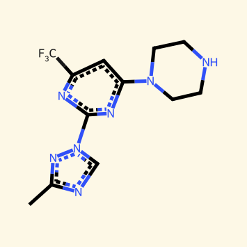 Cc1ncn(-c2nc(N3CCNCC3)cc(C(F)(F)F)n2)n1